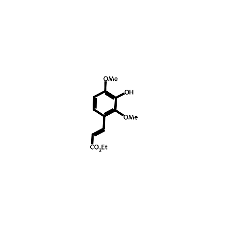 CCOC(=O)/C=C/c1ccc(OC)c(O)c1OC